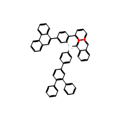 c1ccc(-c2ccc(-c3ccc(N(c4cc(-c5cc6ccccc6c6ccccc56)ccc4-c4ccccc4)c4cccc5ccccc45)cc3)cc2-c2ccccc2)cc1